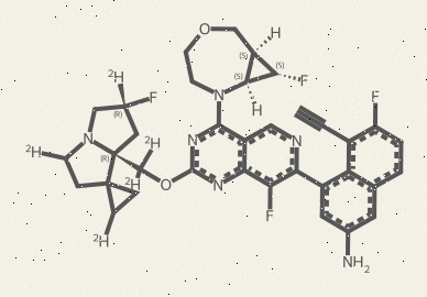 [2H]C1CC2(CC2[2H])[C@@]2(C([2H])([2H])Oc3nc(N4CCOC[C@H]5[C@H](F)[C@H]54)c4cnc(-c5cc(N)cc6ccc(F)c(C#C)c56)c(F)c4n3)C[C@@]([2H])(F)CN12